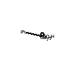 CC(C)CCCCCCCCCCCC1(C(=O)O)CCCCC1(C(=O)O)C(C)C